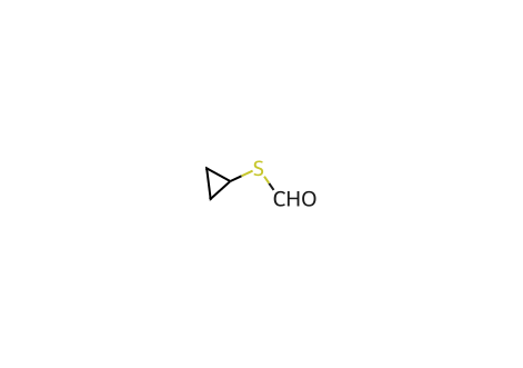 O=CSC1CC1